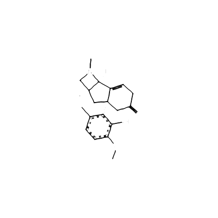 COc1ccc(C)c([C@@]23CC(=O)CC=C2[C@H]2[C@H](CN2C)C3)c1O